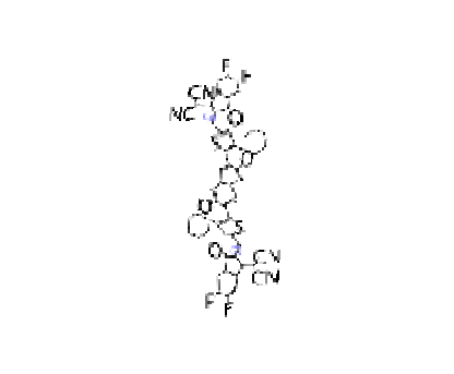 N#CC(C#N)=C1/C(=C/c2cc3c(s2)C2=CC4C=C5OC6(CCCCC6)c6cc(/C=C7\C(=O)C8CC(F)C(F)C=C8C7C(C#N)C#N)sc6C5=CC4C=C2OC32CCCCC2)C(=O)c2cc(F)c(F)cc21